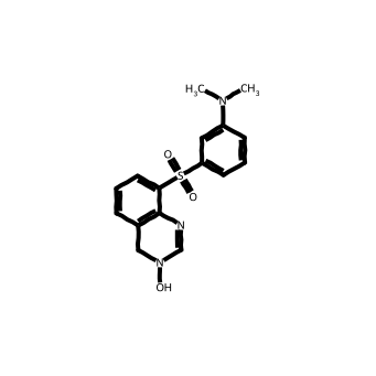 CN(C)c1cccc(S(=O)(=O)c2cccc3c2N=CN(O)C3)c1